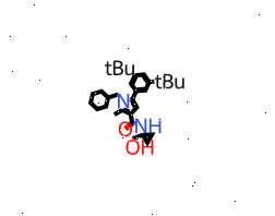 Cc1c(C(=O)NC2(CO)CC2)cc(-c2cc(C(C)(C)C)cc(C(C)(C)C)c2)n1CC1CCCCC1